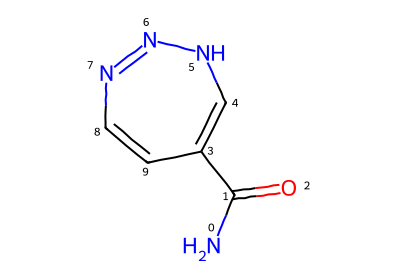 NC(=O)C1=CNN=NC=C1